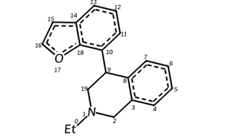 CCN1Cc2ccccc2C(c2cccc3ccoc23)C1